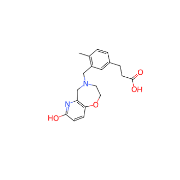 Cc1ccc(CCC(=O)O)cc1CN1CCOc2ccc(O)nc2C1